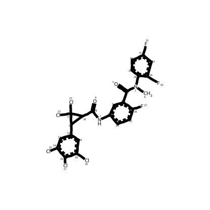 CN(C(=O)c1cc(NC(=O)C2C(c3cc(Cl)c(Cl)c(Cl)c3)C2(Cl)Cl)ccc1F)c1ccc(F)cc1F